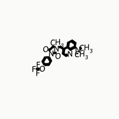 CC1C(=O)N(c2ccc(OC(F)(F)F)cc2)C(=O)N1Cc1ccnc2c(N(C)C)cccc12